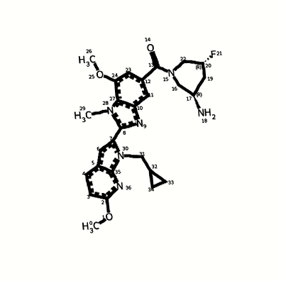 COc1ccc2cc(-c3nc4cc(C(=O)N5C[C@H](N)C[C@@H](F)C5)cc(OC)c4n3C)n(CC3CC3)c2n1